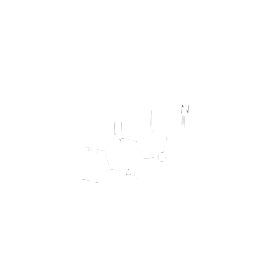 CC(=O)c1ccccc1Nc1coc2cnccc12